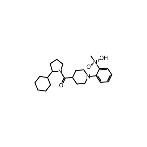 C[N+]([O-])(O)c1ccccc1N1CCC(C(=O)N2CCCC2C2CCCCC2)CC1